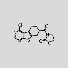 O=C1OCCN1C(=O)C1CCc2c(sc3ncnc(Cl)c23)C1